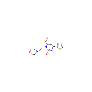 O=CC1=CC(c2nccs2)=N[S+]([O-])N1CCN1CCOCC1